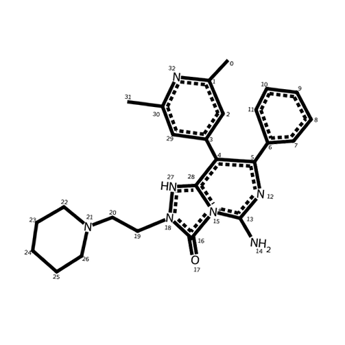 Cc1cc(-c2c(-c3ccccc3)nc(N)[n+]3c(=O)n(CCN4CCCCC4)[nH]c23)cc(C)n1